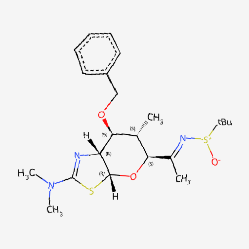 CC(=N[S+]([O-])C(C)(C)C)[C@H]1O[C@@H]2SC(N(C)C)=N[C@@H]2[C@@H](OCc2ccccc2)[C@@H]1C